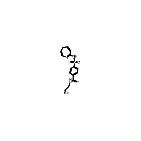 CC(C)(C)CCNC(=O)c1ccc(S(=O)(=O)NC2=NC=CCC=C2)cc1